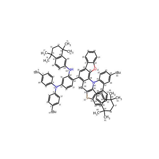 CC(C)(C)c1ccc(N(c2ccc(C(C)(C)C)cc2)c2ccc(-c3cc4c(oc5ccccc54)c4c3Bc3sc5cc6c(cc5c3N4c3ccc(C(C)(C)C)cc3-c3ccccc3)C(C)(C)CCC6(C)C)c(Nc3ccc4c(c3)C(C)(C)CCC4(C)C)c2)cc1